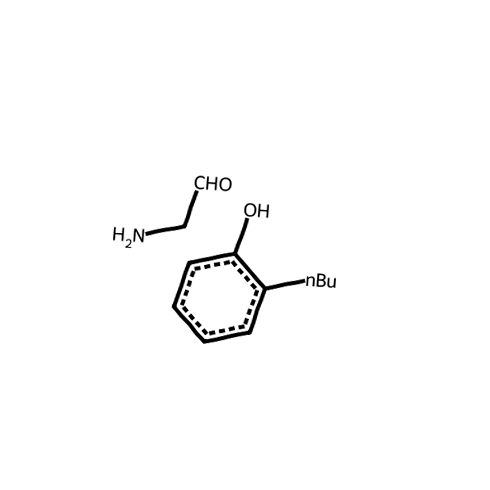 CCCCc1ccccc1O.NCC=O